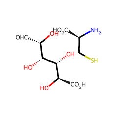 N[C@@H](CS)C(=O)O.O=C[C@H](O)[C@@H](O)[C@H](O)[C@H](O)C(=O)O